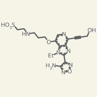 CCn1c(-c2nonc2N)nc2c(C#CCO)ncc(OCCCNCCS(=O)(=O)O)c21